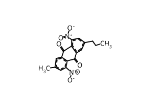 CCCc1cc2c(c([N+](=O)[O-])c1)C(=O)c1cc(C)cc([N+](=O)[O-])c1C2=O